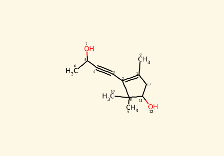 CC1=C(C#CC(C)O)C(C)(C)C(O)C1